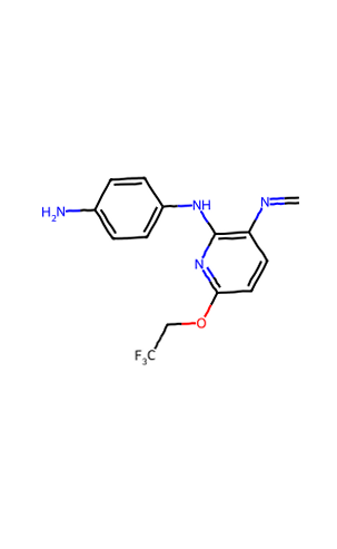 C=Nc1ccc(OCC(F)(F)F)nc1Nc1ccc(N)cc1